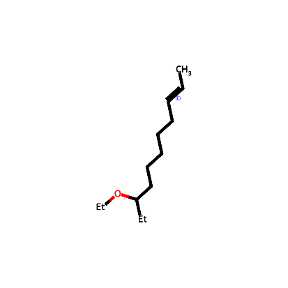 C/C=C/CCCCCC(CC)OCC